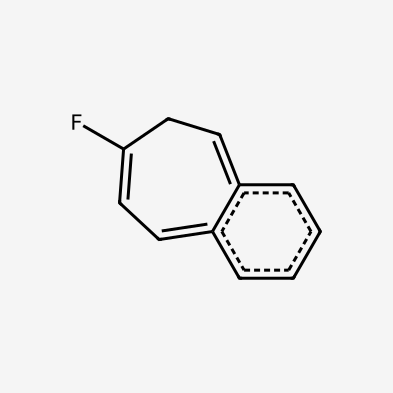 FC1=CC=c2ccccc2=CC1